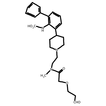 CN(CCN1CCC(c2cccc(-c3ccccc3)c2NC(=O)O)CC1)C(=O)COCCC=O